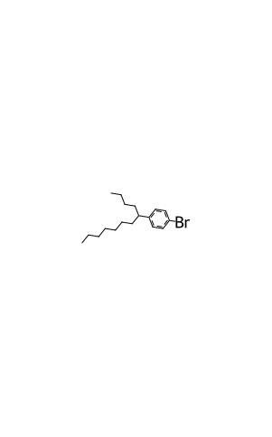 CCCCCCCC(CCCC)c1ccc(Br)cc1